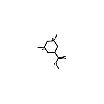 COC(=O)C1C[C@@H](C)C[C@@H](C)C1